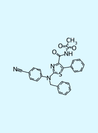 CS(=O)(=O)NC(=O)c1nc(N(Cc2ccccc2)c2ccc(C#N)cc2)sc1-c1ccccc1